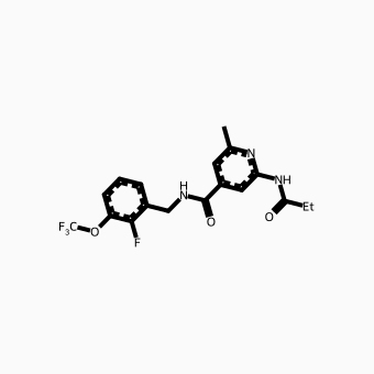 CCC(=O)Nc1cc(C(=O)NCc2cccc(OC(F)(F)F)c2F)cc(C)n1